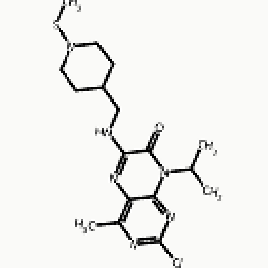 CSN1CCC(CNc2nc3c(C)nc(Cl)nc3n(C(C)C)c2=O)CC1